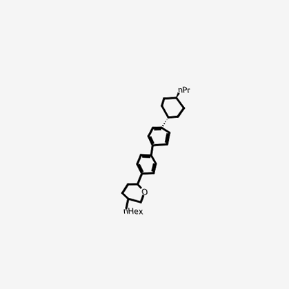 CCCCCCC1CCC(c2ccc(-c3ccc([C@H]4CC[C@H](CCC)CC4)cc3)cc2)OC1